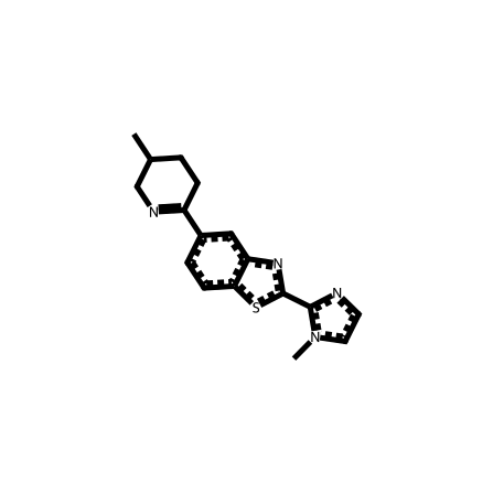 CC1CCC(c2ccc3sc(-c4nccn4C)nc3c2)=NC1